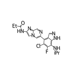 CCC(=O)Nc1cn2cc(-c3c(Cl)c(F)c(NC(C)C)c4[nH]ncc34)ncc2n1